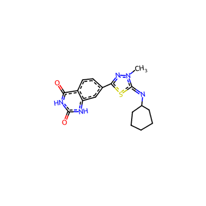 Cn1nc(-c2ccc3c(=O)[nH]c(=O)[nH]c3c2)sc1=NC1CCCCC1